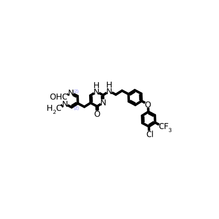 C=N/C=C(\C=N/C=O)Cc1c[nH]c(NCCc2ccc(Oc3ccc(Cl)c(C(F)(F)F)c3)cc2)nc1=O